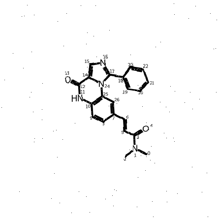 CN(C)C(=O)/C=C/c1ccc2[nH]c(=O)c3cnc(-c4ccccc4)n3c2c1